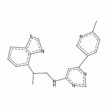 Cc1ccc(-c2cc(NCC(C)c3cccc4scnc34)ncn2)cn1